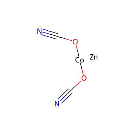 N#C[O][Co][O]C#N.[Zn]